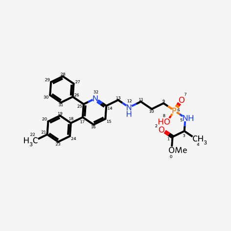 COC(=O)C(C)NP(=O)(O)CCCNCc1ccc(-c2ccc(C)cc2)c(-c2ccccc2)n1